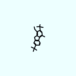 CCc1c(C(C)(C)C)cc(C)c2c1Cc1cc(C(C)(C)C)ccc1-2